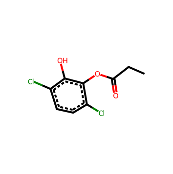 CCC(=O)Oc1c(Cl)ccc(Cl)c1O